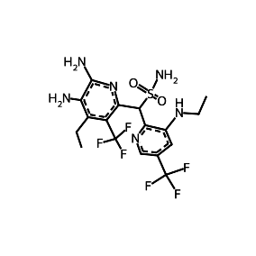 CCNc1cc(C(F)(F)F)cnc1C(c1nc(N)c(N)c(CC)c1C(F)(F)F)S(N)(=O)=O